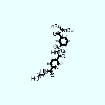 CCCCN(CCCC)C(=O)c1cccc(S(=O)(=O)NC(=O)c2ccc(C(=O)NCCO)nc2)c1